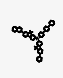 CC1(C)c2cc(-c3ccccc3)ccc2-c2ccc(N(c3ccc(-c4ccc(-c5ccccc5)cc4)cc3)c3ccc4c(c3)C(C)(C)c3cc(-c5ccc6ccccc6c5)ccc3-4)cc21